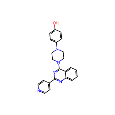 Oc1ccc(N2CCN(c3nc(-c4ccncc4)nc4ccccc34)CC2)cc1